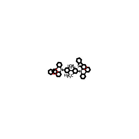 Cc1cc(N(c2ccccc2-c2ccccc2)c2cccc3c2sc2ccccc23)cc(C)c1-c1c(C)cc(N(c2ccccc2-c2ccccc2)c2cccc3c2sc2ccccc23)cc1C